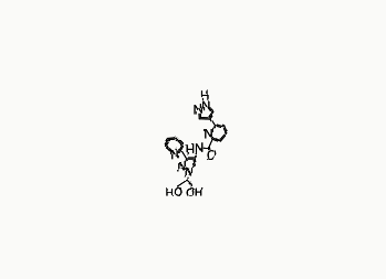 O=C(Nc1cn(C(CO)CO)nc1-c1ccccn1)c1cccc(-c2cn[nH]c2)n1